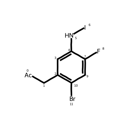 CC(=O)Cc1cc(NI)c(F)cc1Br